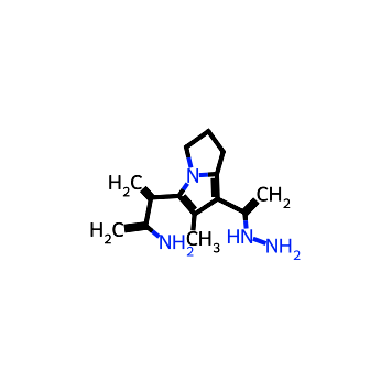 C=C(N)C(=C)c1c(C)c(C(=C)NN)c2n1CCC2